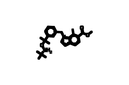 COC(=O)c1ccc2ccn(Cc3cccc(C(C)(C)O[SiH2]C(C)(C)C)c3)c2c1C